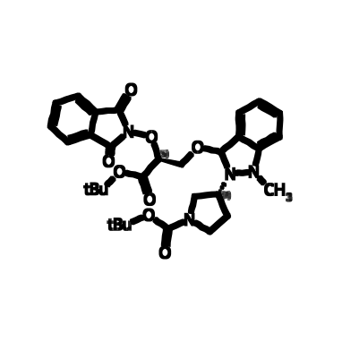 CN1c2ccccc2C(OC[C@H](ON2C(=O)c3ccccc3C2=O)C(=O)OC(C)(C)C)N1[C@@H]1CCN(C(=O)OC(C)(C)C)C1